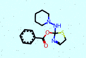 O=C(OC1(NN2CCCCC2)N=CCS1)c1ccccc1